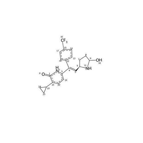 O=c1[nH]c(/C(=C/[C@H]2CCC(O)N2)c2ccc(C(F)(F)F)cc2)ccc1C1CC1